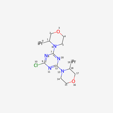 CC(C)C1COCCN1c1nc(Cl)nc(N2CCOCC2C(C)C)n1